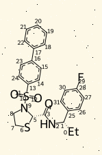 [CH2]C[C@H](NC(=O)[C@@H]1SCCN1S(=O)(=O)c1ccc(-c2ccccc2)cc1)c1ccc(F)cc1